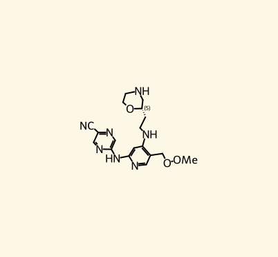 COOCc1cnc(Nc2cnc(C#N)cn2)cc1NCC[C@H]1CNCCO1